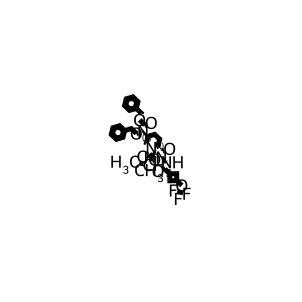 CC(C)(C)OC(=O)N1C[C@@H](N(OCc2ccccc2)C(=O)OCc2ccccc2)CC[C@@H]1C(=O)NNC(=O)C1CC(OC(F)(F)F)C1